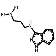 CCN(CC)CCCNc1n[nH]c2ccccc12